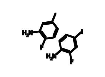 Cc1ccc(F)c(N)c1.Nc1ccc(I)cc1F